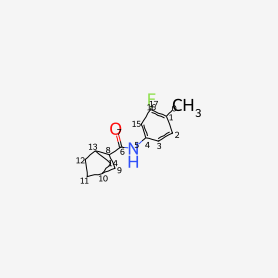 Cc1ccc(NC(=O)C2CC3CCC2C3)cc1F